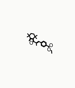 CCOC(=O)c1ccc(C=C(C)c2occ3c2C(C)(C)CCC3(C)C)cc1